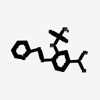 CCN(c1ccc(N=Nc2ccccn2)c(NS(=O)(=O)C(F)(F)F)c1)C(C)C